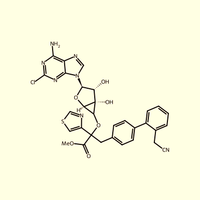 COC(=O)C(Cc1ccc(-c2ccccc2CC#N)cc1)(OC1[C@H]2O[C@@H](n3cnc4c(N)nc(Cl)nc43)[C@H](O)[C@@]12O)c1cscn1